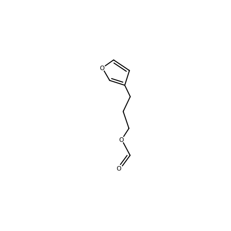 O=COCCCc1ccoc1